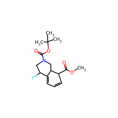 COC(=O)C1C=CC=C2C(F)CN(C(=O)OC(C)(C)C)CC21